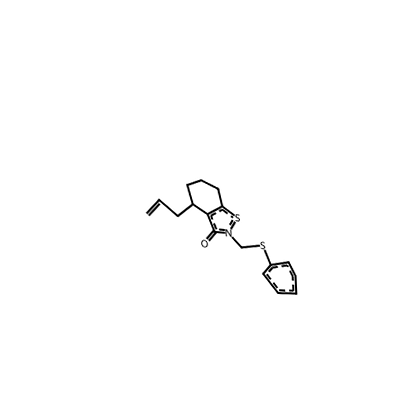 C=CCC1CCCc2sn(CSc3ccccc3)c(=O)c21